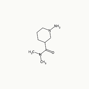 CN(C)C(=O)C1CCCN(N)C1